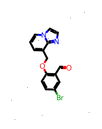 O=Cc1cc(Br)ccc1OCc1cccn2ccnc12